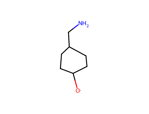 NCC1CCC([O])CC1